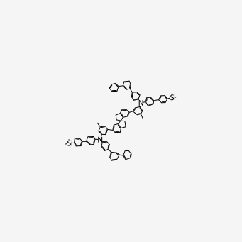 Cc1cc(-c2ccc3c(c2)C2(CC3)CCc3ccc(-c4cc(C)cc(N(c5ccc(-c6ccc([Si](C)(C)C)cc6)cc5)c5ccc(-c6cccc(-c7ccccc7)c6)cc5)c4)cc32)cc(N(c2ccc(-c3ccc([Si](C)(C)C)cc3)cc2)c2ccc(-c3cccc(-c4ccccc4)c3)cc2)c1